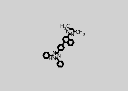 Cc1cc(C)nc(-c2ccc(-c3ccc(C4=NC(c5ccccc5)NC(c5ccccc5)=N4)cc3)c3ccccc23)n1